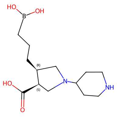 O=C(O)[C@@H]1CN(C2CCNCC2)C[C@@H]1CCCB(O)O